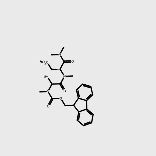 CC(C)C(C(=O)N(C)[C@@H](CC(=O)O)C(=O)N(C)C)N(C)C(=O)OCC1c2ccccc2-c2ccccc21